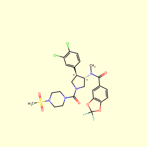 CN(C(=O)c1ccc2c(c1)OC(F)(F)O2)[C@@H]1CN(C(=O)N2CCN(S(C)(=O)=O)CC2)C[C@H]1c1ccc(Cl)c(Cl)c1